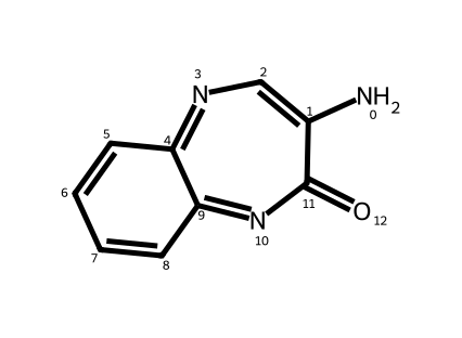 Nc1cnc2ccccc2nc1=O